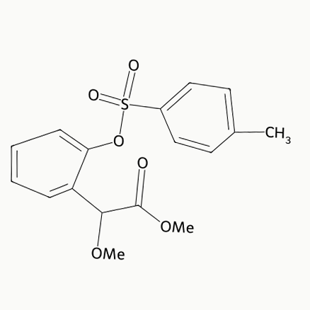 COC(=O)C(OC)c1ccccc1OS(=O)(=O)c1ccc(C)cc1